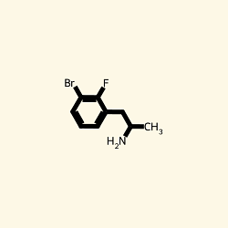 CC(N)Cc1cccc(Br)c1F